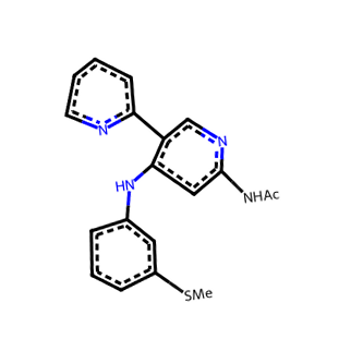 CSc1cccc(Nc2cc(NC(C)=O)ncc2-c2ccccn2)c1